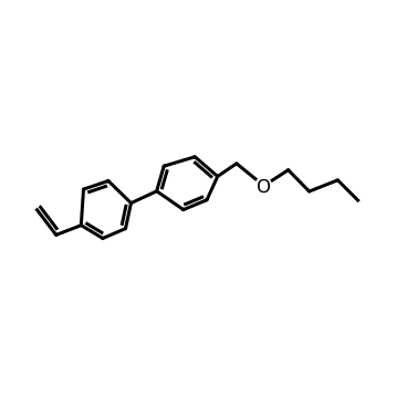 C=Cc1ccc(-c2ccc(COCCCC)cc2)cc1